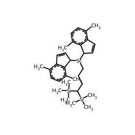 Cc1ccc(C)c2c1C=C[CH]2[Sc]([CH2]CC[C]([Si](C)(C)C)[Si](C)(C)C)[CH]1C=Cc2c(C)ccc(C)c21